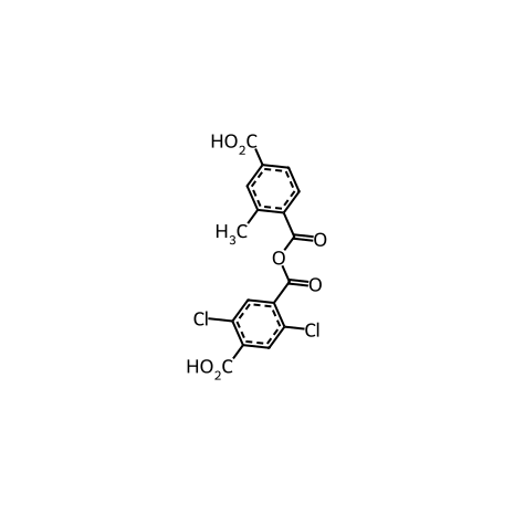 Cc1cc(C(=O)O)ccc1C(=O)OC(=O)c1cc(Cl)c(C(=O)O)cc1Cl